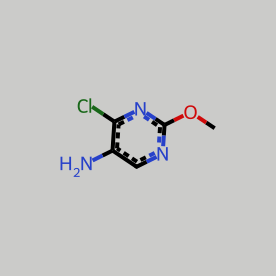 COc1ncc(N)c(Cl)n1